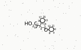 C=C(C(=O)O)C(CCOc1ccccc1)c1ccccc1